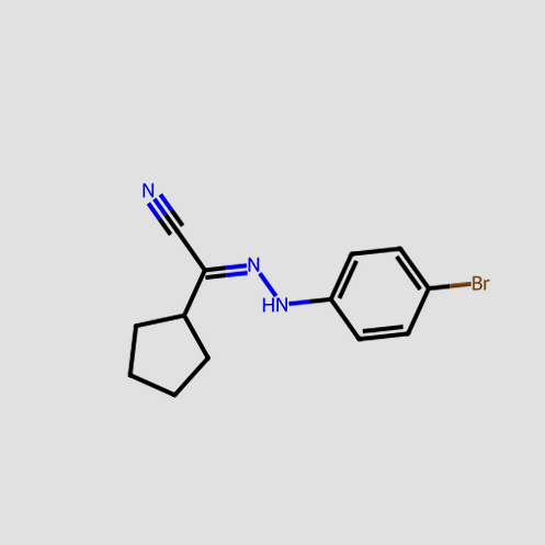 N#C/C(=N/Nc1ccc(Br)cc1)C1CCCC1